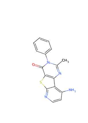 Cc1nc2c(sc3nccc(N)c32)c(=O)n1-c1ccccc1